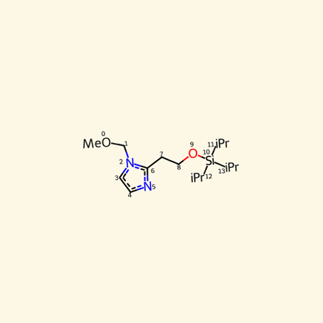 COCn1ccnc1CCO[Si](C(C)C)(C(C)C)C(C)C